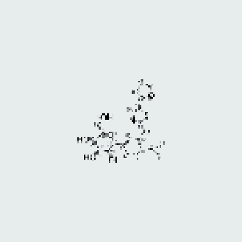 OC[C@H]1O[C@@H](c2ccc(C3CC3)c(Cc3ncc(-c4ccco4)s3)c2)[C@H](O)[C@@H](O)[C@@H]1O